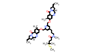 C/C=C1\C[C@H]2C=Nc3cc(OCc4cc(CCCN(C)C(=O)CCC(C)(C)SSC)cc(COc5cc6c(cc5C)C(=O)N5C/C(=C/C)C[C@H]5C=N6)n4)c(C)cc3C(=O)N2C1